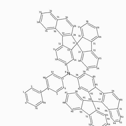 c1ccc(-c2ccc(N(c3ccc4c(c3)C3(c5ccccc5-c5ccccc53)c3ccc5ccccc5c3-4)c3ccc4c(c3)C3(c5ccccc5-c5ccccc53)c3c-4ccc4ccccc34)cc2)cc1